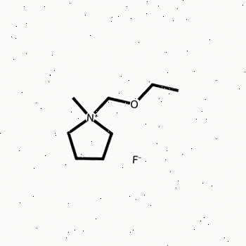 CCOC[N+]1(C)CCCC1.[F-]